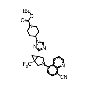 CC(C)(C)OC(=O)N1CCC(n2cnc([C@]34CN(c5ccc(C#N)c6ncccc56)C[C@@]3(C(F)(F)F)C4)n2)CC1